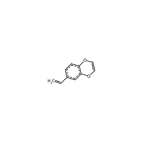 C=Cc1c[c]c2c(c1)OC=CO2